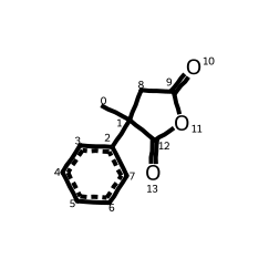 CC1(c2ccccc2)CC(=O)OC1=O